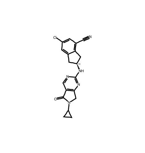 N#Cc1cc(Cl)cc2c1C[C@@H](Nc1ncc3c(n1)CN(C1CC1)C3=O)C2